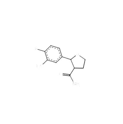 NC(=O)C1CCOC1c1ccc(F)c(C(F)(F)F)c1